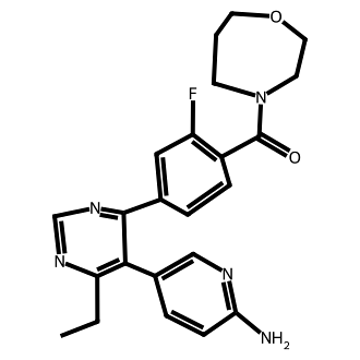 CCc1ncnc(-c2ccc(C(=O)N3CCCOCC3)c(F)c2)c1-c1ccc(N)nc1